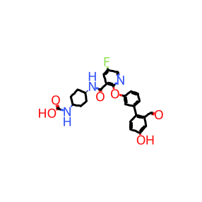 O=Cc1cc(O)ccc1-c1cccc(Oc2ncc(F)cc2C(=O)N[C@H]2CC[C@H](NC(=O)O)CC2)c1